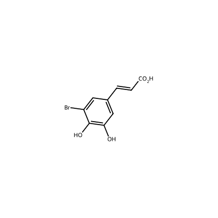 O=C(O)/C=C/c1cc(O)c(O)c(Br)c1